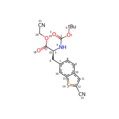 CC(C)(C)OC(=O)N[C@@H](Cc1ccc2cc(C#N)sc2c1)C(=O)OCC#N